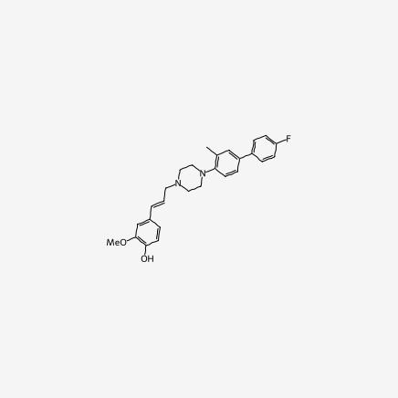 COc1cc(C=CCN2CCN(c3ccc(-c4ccc(F)cc4)cc3C)CC2)ccc1O